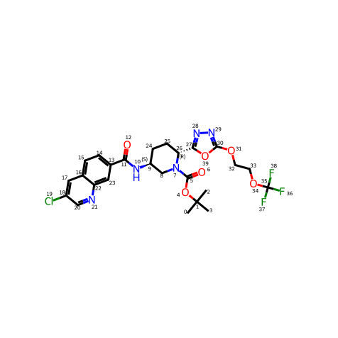 CC(C)(C)OC(=O)N1C[C@@H](NC(=O)c2ccc3cc(Cl)cnc3c2)CC[C@@H]1c1nnc(OCCOC(F)(F)F)o1